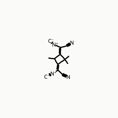 [C-]#[N+]/C(C#N)=C1\C(C)/C(=C(/C#N)[N+]#[C-])C1(C)C